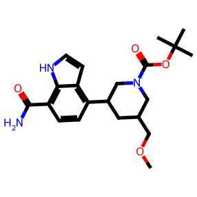 COCC1CC(c2ccc(C(N)=O)c3[nH]ccc23)CN(C(=O)OC(C)(C)C)C1